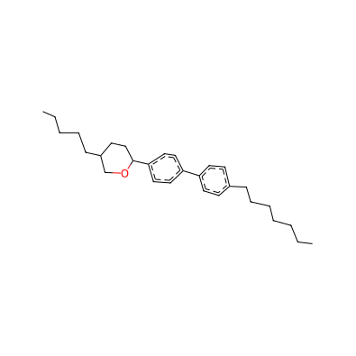 CCCCCCCc1ccc(-c2ccc(C3CCC(CCCCC)CO3)cc2)cc1